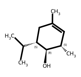 CC1=C[C@H](C)[C@@H](O)[C@H](C(C)C)C1